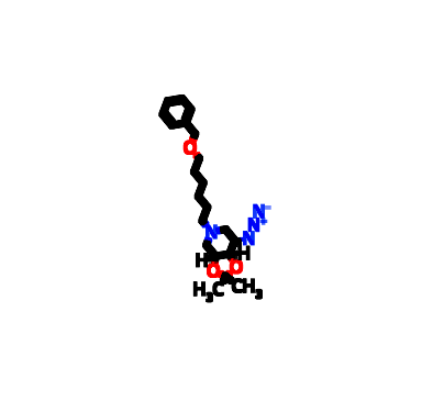 CC1(C)O[C@@H]2[C@@H](N=[N+]=[N-])CN(CCCCCCOCc3ccccc3)C[C@@H]2O1